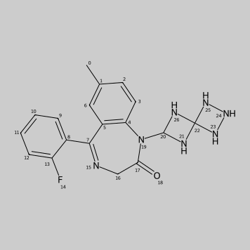 Cc1ccc2c(c1)C(c1ccccc1F)=NCC(=O)N2C1NC2(NNN2)N1